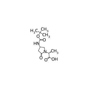 C[C@@H](C(=O)O)N1CC(NC(=O)OC(C)(C)C)CC1=O